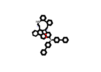 C1=Cc2c3c(c4ccccc4c2CC1)/C(c1ccc(N(c2ccc(-c4ccccc4)cc2)c2ccc(-c4ccccc4)cc2)cc1)=C\c1ccccc1-c1ccccc1N/C=C/3